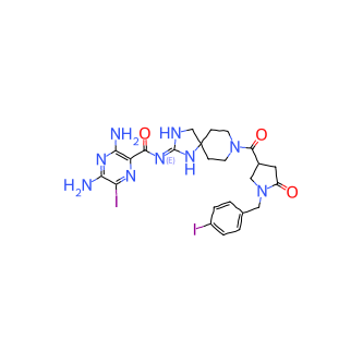 Nc1nc(N)c(C(=O)/N=C2\NCC3(CCN(C(=O)C4CC(=O)N(Cc5ccc(I)cc5)C4)CC3)N2)nc1I